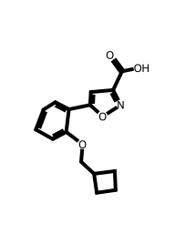 O=C(O)c1cc(-c2ccccc2OCC2CCC2)on1